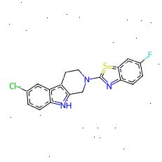 Fc1ccc2nc(N3CCc4c([nH]c5ccc(Cl)cc45)C3)sc2c1